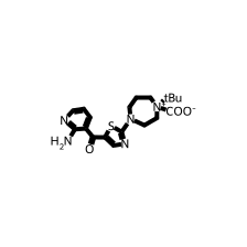 CC(C)(C)[N+]1(C(=O)[O-])CCCN(c2ncc(C(=O)c3cccnc3N)s2)CC1